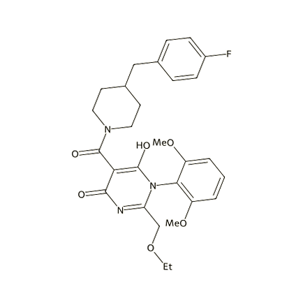 CCOCc1nc(=O)c(C(=O)N2CCC(Cc3ccc(F)cc3)CC2)c(O)n1-c1c(OC)cccc1OC